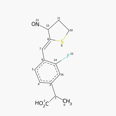 CC(C(=O)O)c1ccc(/C=C2\SCCC2N=O)c(F)c1